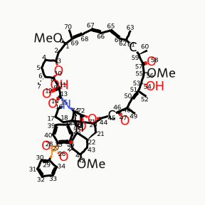 COC1CC2CC[C@@H](C)[C@@](O)(O2)C(=O)C(=O)N2CCC[C@@H]3C(C[C@@H]4CC[C@@H](OP(=O)(c5ccccc5)c5ccccc5)[C@H](OC)C4)C(CC(=O)C(C)/C=C(\C)[C@@H](O)[C@@H](OC)C(=O)[C@H](C)CC(C)/C=C/C=C/C=C/1C)OC(=O)[C@H]32